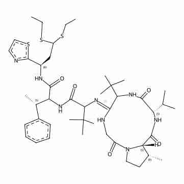 CCSC(C[C@@H](NC(=O)C(NC(=O)C(/N=C1\NCC(=O)N2CC[C@@H](C)[C@H]2C(=O)N[C@@H](C(C)C)C(=O)NC1C(C)(C)C)C(C)(C)C)[C@@H](C)c1ccccc1)c1nccs1)SCC